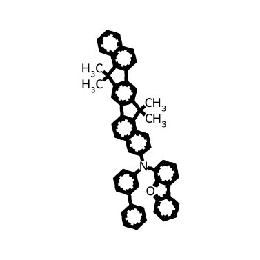 CC1(C)c2cc3c(cc2-c2ccc4ccccc4c21)C(C)(C)c1c-3ccc2cc(N(c3cccc(-c4ccccc4)c3)c3cccc4c3oc3ccccc34)ccc12